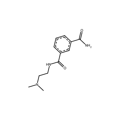 CN(C)CCNC(=O)c1cccc(C(N)=O)c1